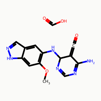 COc1cc2[nH]ncc2cc1NC1N=CN=C(N)C1=C=O.O=CO